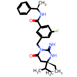 CC[C@@]1(C(C)C)CC(=O)N(Cc2cc(F)cc(C(=O)N[C@H](C)c3ccccc3)c2)C(=N)N1